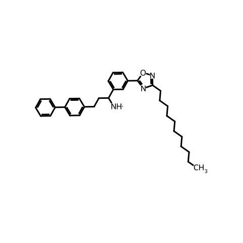 CCCCCCCCCCCc1noc(-c2cccc(C([NH])CCc3ccc(-c4ccccc4)cc3)c2)n1